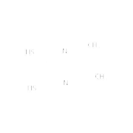 Cc1nc(S)c(S)nc1C